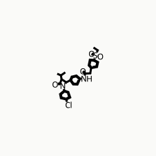 CCS(=O)(=O)c1ccc(CC(=O)Nc2ccc(C3C(C(C)C)C(=O)N3c3ccc(Cl)cc3)cc2)cc1